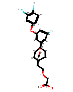 O=C(O)COCCC12CCC(c3cc(F)cc(Oc4ccc(F)c(F)c4)c3)(CC1)OC2